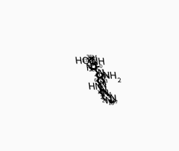 Cc1c(-c2cc3cc(Nc4cc5n(n4)Cc4nccn4CC5)ncc3c(N)n2)cnc2c1NC(C)(C)[C@@H]2O